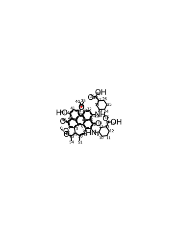 COc1c2c3c4c(c(NC5CCCC(C(=O)O)C5)c(=O)c5c(NC6CCCC(C(=O)O)C6)cc(OC)c(c6c(OC)cc(O)c(c1=O)c63)c54)C=C(C)C2C(C)=O